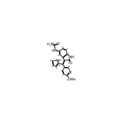 COc1ccc(C(=C2C(=O)Nc3ccc(NC(N)=O)cc32)c2ccc[nH]2)cn1